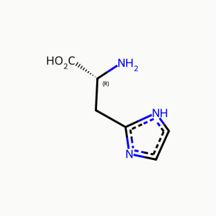 N[C@H](Cc1ncc[nH]1)C(=O)O